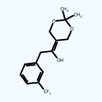 CC1(C)OCC(=C(O)Cc2cccc(C(F)(F)F)c2)CO1